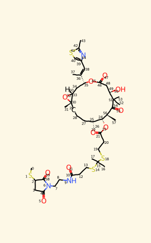 CSC1CC(=O)N(CCNC(=O)CCSC(C)(C)SCCC(=O)O[C@@H]2[C@H](C)CCC[C@]3(C)O[C@@H]3C[C@H](/C(C)=C/c3csc(C)n3)OC(=O)C[C@@H](O)C(C)(C)C(=O)[C@H]2C)C1=O